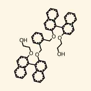 OCCOc1ccc2ccccc2c1-c1c(OCc2ccccc2COc2ccc3ccccc3c2-c2c(OCCO)ccc3ccccc23)ccc2ccccc12